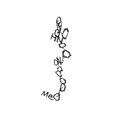 COCCOCOc1ccc2cc(C(=O)N(C)Cc3cccc(-c4ccc(Nc5ccccc5C(=O)N5CCOCC5)cc4)c3)ccc2c1